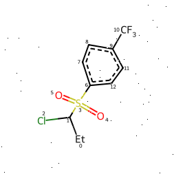 CCC(Cl)S(=O)(=O)c1ccc(C(F)(F)F)cc1